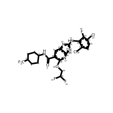 O=C(NC1CCC(C(F)(F)F)CC1)c1cc2nc(Nc3c(Cl)ccc(Cl)c3F)[nH]c2nc1OCC(F)F